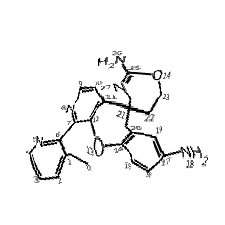 Cc1cccnc1-c1nccc2c1Oc1ccc(N)cc1C21CCOC(N)=N1